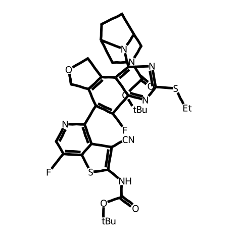 CCSc1nc(N2C3CCC2CN(C(=O)OC(C)(C)C)C3)c2c3c(c(-c4ncc(F)c5sc(NC(=O)OC(C)(C)C)c(C#N)c45)c(F)c2n1)COC3